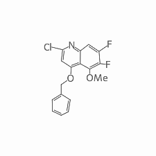 COc1c(F)c(F)cc2nc(Cl)cc(OCc3ccccc3)c12